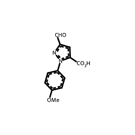 COc1ccc(-n2nc(C=O)cc2C(=O)O)cc1